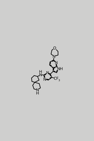 FC(F)(F)c1cnc(NC2CCCC3(CCNCC3)C2)nc1-c1c[nH]c2nc(N3CCOCC3)ccc12